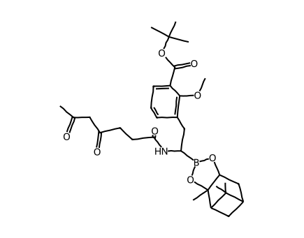 COc1c(CC(NC(=O)CCC(=O)CC(C)=O)B2OC3CC4CC(C4(C)C)C3(C)O2)cccc1C(=O)OC(C)(C)C